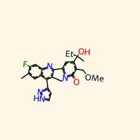 CC[C@](C)(O)c1cc2n(c(=O)c1COC)Cc1c-2nc2cc(F)c(C)cc2c1-c1cc[nH]n1